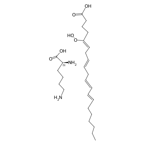 CCCCCCC=CC=CCC=CCC=C(CCCC(=O)O)OO.NCCCC[C@H](N)C(=O)O